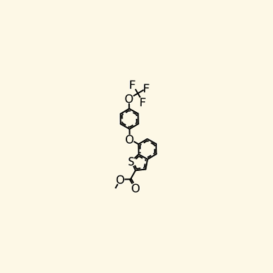 COC(=O)c1cc2cccc(Oc3ccc(OC(F)(F)F)cc3)c2s1